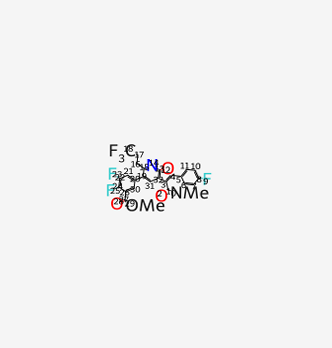 CNC(=O)c1c(-c2ccc(F)cc2)oc2nc(CCC(F)(F)F)c(-c3cc(F)c(F)c(C(=O)OC)c3)cc12